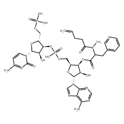 C=CCCC(=O)N(C)C(Cc1cccnc1)C(=O)O[C@H]1[C@@H](O)[C@H](n2cnc3c(N)ncnc32)O[C@H]1COP(=O)(O)O[C@H]1[C@@H](O)[C@H](n2ccc(N)nc2=O)O[C@@H]1COP(=O)(O)O